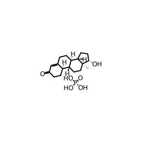 C[C@]12CC[C@H]3[C@@H](CCC4=CC(=O)CC[C@@H]43)[C@@H]1CC[C@@H]2O.O=P(O)(O)O